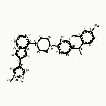 Cc1cc(F)ccc1[C@@H](C)c1cnc(N2CCN(c3ncnn4cc(-c5cnn(C)c5)cc34)CC2)nc1